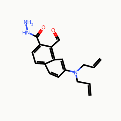 C=CCN(CC=C)c1ccc2ccc(C(=O)NN)c(C=O)c2c1